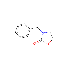 O=C1OC[CH]N1Cc1ccccc1